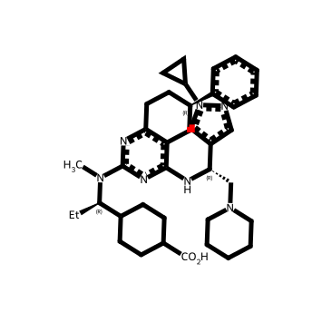 CC[C@H](C1CCC(C(=O)O)CC1)N(C)c1nc2c(c(N[C@@H](CN3CCCCC3)c3cnn(C4CC4)c3)n1)C[C@H](c1ccccc1)CC2